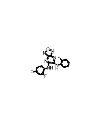 Fc1ccc(Nc2nc3nonc3nc2Nc2ccccc2F)c(F)c1